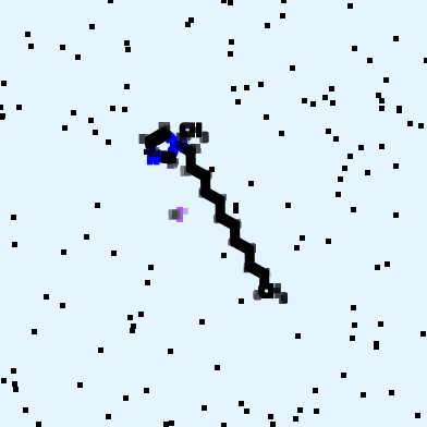 CCCCCCCCCCCC[N+]1(C)C=CN=C1.[I-]